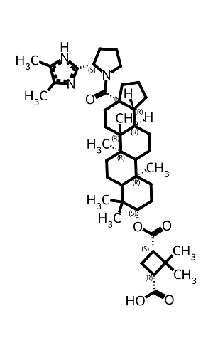 Cc1nc([C@@H]2CCCN2C(=O)[C@]23CCC[C@@H]2[C@H]2CCC4[C@@]5(C)CC[C@H](OC(=O)[C@H]6C[C@@H](C(=O)O)C6(C)C)C(C)(C)C5CC[C@@]4(C)[C@]2(C)CC3)[nH]c1C